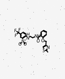 Cc1nc(COc2ccccc2C(=O)NCCNc2ccc(C(F)(F)F)cc2[N+](=O)[O-])cs1